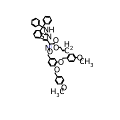 C=CCOC(=O)/C(=N\OCc1ccc(OCc2ccc(OC)cc2)c(OCc2ccc(OC)cc2)c1)c1csc(NC(c2ccccc2)(c2ccccc2)c2ccccc2)n1